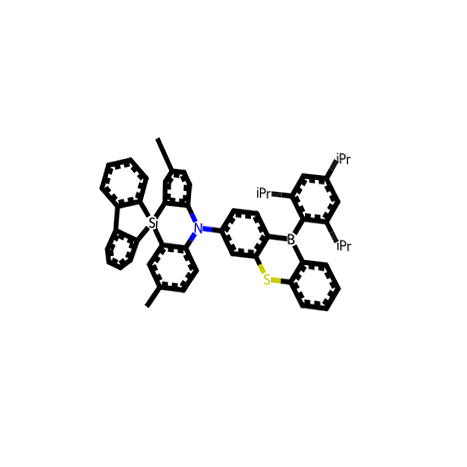 Cc1ccc2c(c1)[Si]1(c3ccccc3-c3ccccc31)c1cc(C)ccc1N2c1ccc2c(c1)Sc1ccccc1B2c1c(C(C)C)cc(C(C)C)cc1C(C)C